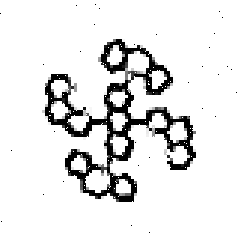 C1=CC2=C(CC1)N(c1ccc3c(-c4ccc5ccc6cccnc6c5n4)c4cc(N5c6ccccc6CCc6ccccc65)ccc4c(-c4ccc5ccc6cccnc6c5n4)c3c1)c1ccccc1CC2